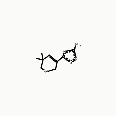 CC1(C)C=C(c2nc(N)no2)CNC1